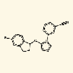 N#Cc1ccnc(-n2nccc2OC2CCc3cc(F)ccc32)c1